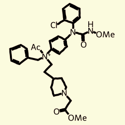 CONC(=O)N(c1ccc([N+](CCC2CCN(CC(=O)OC)CC2)(Cc2ccccc2)C(C)=O)cc1)c1ccccc1Cl